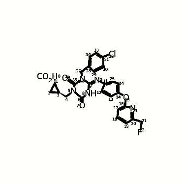 O=C(O)[C@H]1C[C@@H]1Cn1c(=O)[nH]/c(=N\c2ccc(Oc3cccc(CF)n3)cc2)n(Cc2ccc(Cl)cc2)c1=O